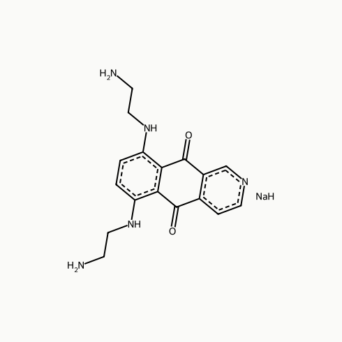 NCCNc1ccc(NCCN)c2c1C(=O)c1ccncc1C2=O.[NaH]